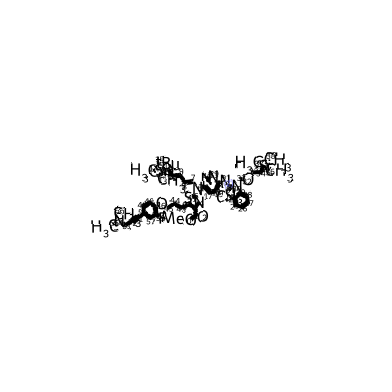 COC(=O)c1nc(N(CCCCO[Si](C)(C)C(C)(C)C)c2cc(C)c(/N=c3\sc4ccccc4n3COCC[Si](C)(C)C)nn2)sc1CCCOc1ccc(C#CCN(C)C)cc1F